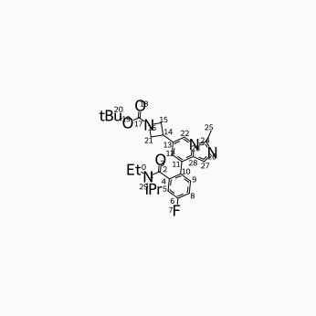 CCN(C(=O)c1cc(F)ccc1-c1cc(C2CN(C(=O)OC(C)(C)C)C2)cn2c(C)ncc12)C(C)C